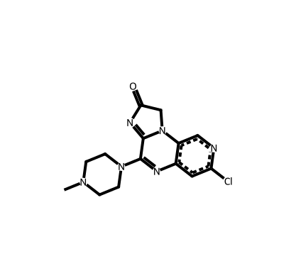 CN1CCN(C2=Nc3cc(Cl)ncc3N3CC(=O)N=C23)CC1